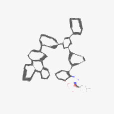 Cc1nc2c(-c3cccc(-c4cc(-c5ccccc5)cc(-c5cccc(-c6ccc7c8ccccc8c8ccccc8c7c6)c5)c4)c3)cccc2o1